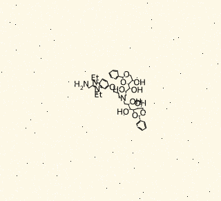 CCn1c(CN)[n+](CC)c2cc(OCCCN(C[C@H](O)[C@@H](O)[C@@H]3OC(c4ccccc4)OC[C@H]3O)C[C@H](O)[C@@H](O)[C@@H]3OC(c4ccccc4)OC[C@H]3O)ccc21